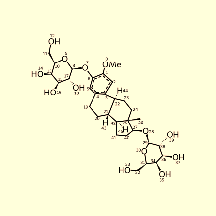 COc1cc2c(cc1O[C@@H]1O[C@H](CO)[C@H](O)[C@H](O)[C@H]1O)CC[C@@H]1[C@@H]2CC[C@]2(C)[C@@H](O[C@@H]3O[C@H](CO)[C@H](O)[C@H](O)[C@H]3O)CC[C@@H]12